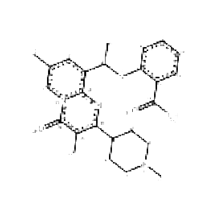 Cc1cc([C@@H](C)Nc2ccccc2C(=O)O)c2nc(C3CCN(C)CC3)c(C)c(=O)n2c1